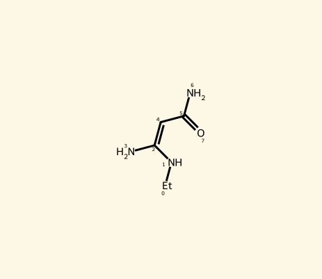 CCN/C(N)=C\C(N)=O